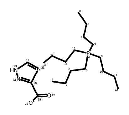 CCCC[P+](CCCC)(CCCC)CCCC.O=C([O-])c1nc[nH]n1